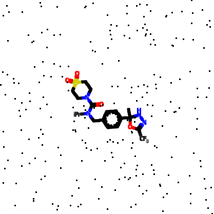 CC(C)N(Cc1ccc(C2(C)NN=C(C(F)(F)F)O2)cc1)C(=O)N1CCS(=O)(=O)CC1